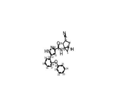 N#CC1C[C@H]2C[C@@]2(NC(=O)c2cc(-c3ccccc3Oc3ccccc3)[nH]n2)C1